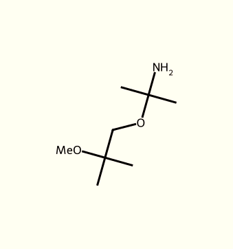 COC(C)(C)COC(C)(C)N